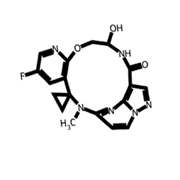 CN1c2ccn3ncc(c3n2)C(=O)NC(O)COc2ncc(F)cc2C12CC2